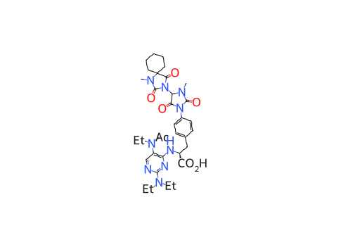 CCN(CC)c1ncc(N(CC)C(C)=O)c(N[C@@H](Cc2ccc(N3C(=O)C(N4C(=O)N(C)C5(CCCCC5)C4=O)N(C)C3=O)cc2)C(=O)O)n1